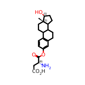 C[C@]12CCC3c4ccc(OC(=O)[C@H](N)CC(=O)O)cc4CCC3C1CC[C@@H]2O